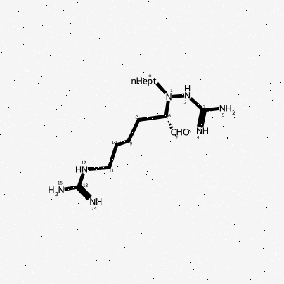 CCCCCCCN(NC(=N)N)[C@H]([C]=O)CCCCNC(=N)N